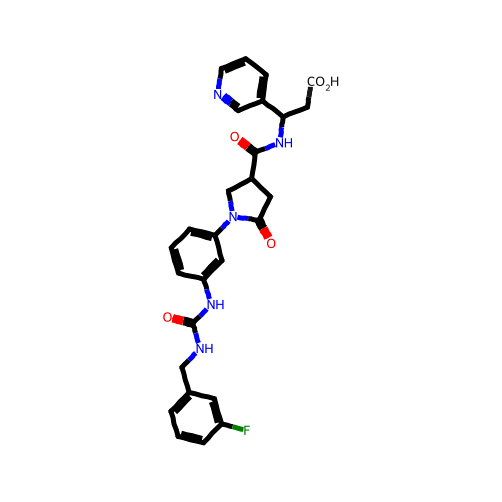 O=C(O)CC(NC(=O)C1CC(=O)N(c2cccc(NC(=O)NCc3cccc(F)c3)c2)C1)c1cccnc1